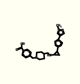 Cn1cc(-c2ccc(C3CC3NCC3CCN(Cc4ccc(C(=O)O)cc4)CC3)cc2)cn1